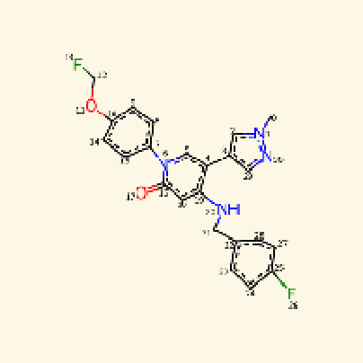 Cn1cc(-c2cn(-c3ccc(OCF)cc3)c(=O)cc2NCc2ccc(F)cc2)cn1